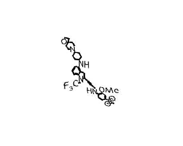 COc1cc(S(C)(=O)=O)ccc1NCC#Cc1cc2c(NC3CCC(N4CCC5(CCO5)CC4)CC3)cccc2n1CC(F)(F)F